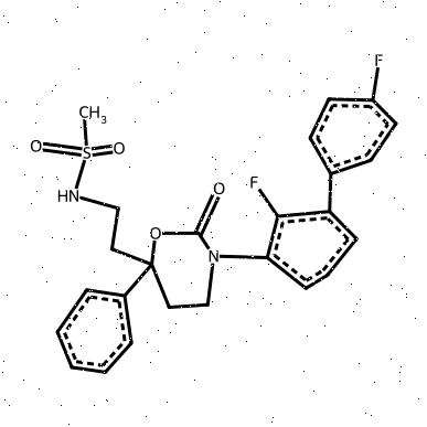 CS(=O)(=O)NCCC1(c2ccccc2)CCN(c2cccc(-c3ccc(F)cc3)c2F)C(=O)O1